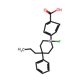 CCCC1(c2ccccc2)CC[Si](F)(c2ccc(C(=O)O)cc2)CC1